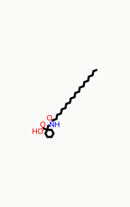 CCCCCCCCCCCCCCCCCCCC(=O)NCC1(C(=O)O)CCCCC1